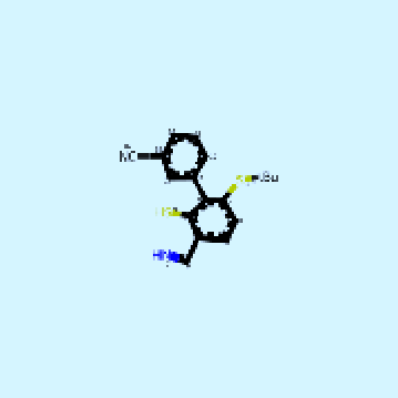 CC(C)(C)Sc1ccc(C=N)c(S)c1-c1cccc(C#N)c1